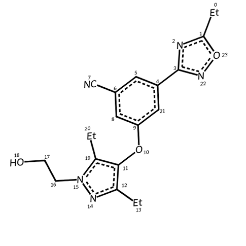 CCc1nc(-c2cc(C#N)cc(Oc3c(CC)nn(CCO)c3CC)c2)no1